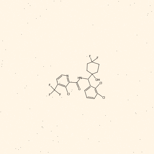 O=C(NC(c1cccc(Cl)c1Cl)C1(O)CCC(F)(F)CC1)c1nccc(C(F)(F)F)c1Cl